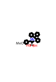 COc1ccc(-c2nn(C(c3ccccc3)(c3ccccc3)c3ccccc3)cc2B(O)O)cc1